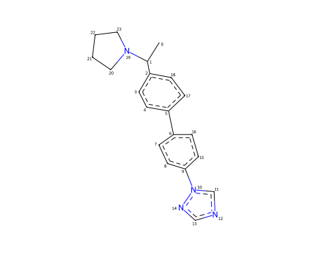 CC(c1ccc(-c2ccc(-n3cncn3)cc2)cc1)N1CCCC1